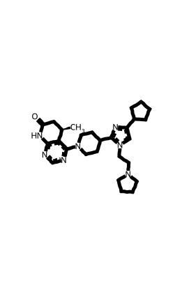 C[C@@H]1CC(=O)Nc2ncnc(N3CCC(c4nc(C5CCCC5)cn4CCN4CCCC4)CC3)c21